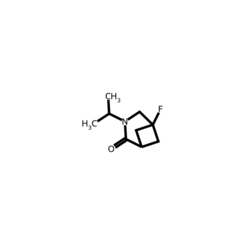 CC(C)N1CC2(F)CC(C2)C1=O